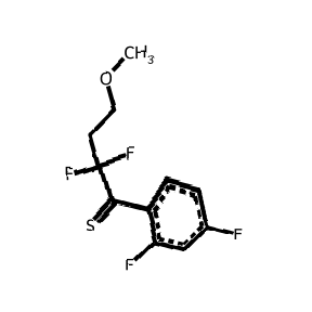 COCCC(F)(F)C(=S)c1ccc(F)cc1F